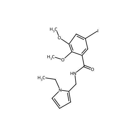 CCn1cccc1CNC(=O)c1cc(I)cc(OC)c1OC